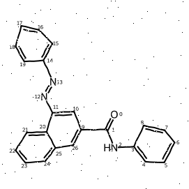 O=C(Nc1ccccc1)c1cc(/N=N/c2ccccc2)c2ccccc2c1